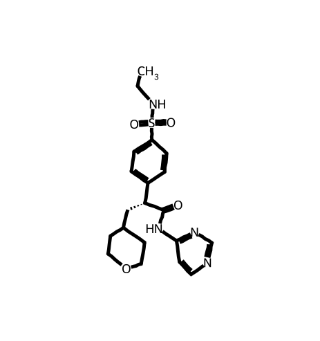 CCNS(=O)(=O)c1ccc([C@@H](CC2CCOCC2)C(=O)Nc2ccncn2)cc1